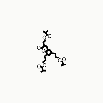 C=C(C)C(=O)OCCCc1cc(CCCOC(=O)C(=C)C)c2oc(=O)c(CCOC(=O)C(=C)C)cc2c1